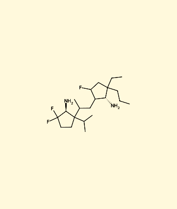 CCCC1(CC)CC(F)C(CC(C)C2(C(C)C)CCC(F)(F)[C@H]2N)[C@H]1N